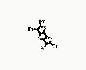 CCc1sc2c(sc3c(C(C)C)c(C(C)C)sc32)c1C(C)C